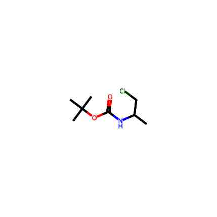 CC(CCl)NC(=O)OC(C)(C)C